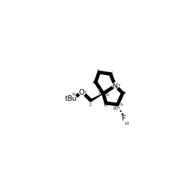 CC(C)(C)OC[C@@]12CCCN1C[C@H](F)C2